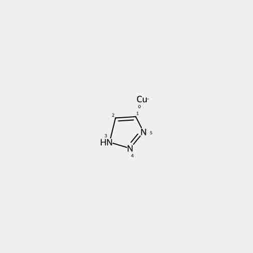 [Cu].c1c[nH]nn1